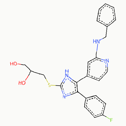 OCC(O)CSc1nc(-c2ccc(F)cc2)c(-c2ccnc(NCc3ccccc3)c2)[nH]1